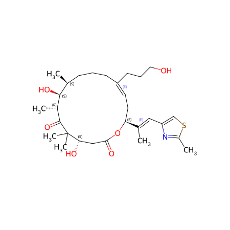 C/C(=C\c1csc(C)n1)[C@@H]1C/C=C(/CCCO)CCC[C@H](C)[C@H](O)[C@@H](C)C(=O)C(C)(C)[C@@H](O)CC(=O)O1